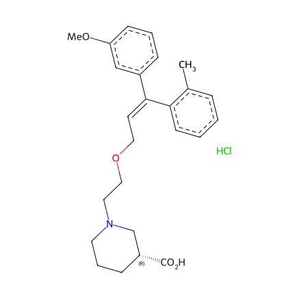 COc1cccc(C(=CCOCCN2CCC[C@@H](C(=O)O)C2)c2ccccc2C)c1.Cl